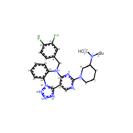 CC(C)(C)N(C(=O)O)C1CCCN(c2ncc3c(n2)N(Cc2ccc(F)c(F)c2)c2ccccc2-n2nnnc2-3)C1